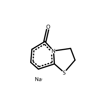 O=c1cccc2n1CCS2.[Na]